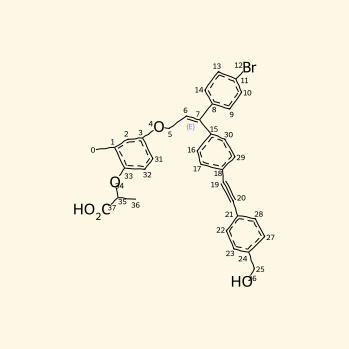 Cc1cc(OC/C=C(/c2ccc(Br)cc2)c2ccc(C#Cc3ccc(CO)cc3)cc2)ccc1OC(C)C(=O)O